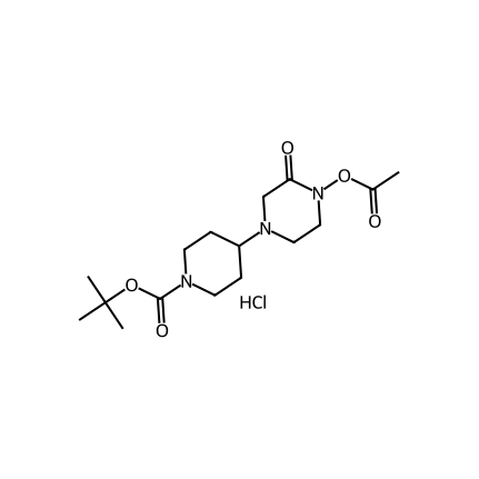 CC(=O)ON1CCN(C2CCN(C(=O)OC(C)(C)C)CC2)CC1=O.Cl